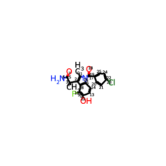 Cc1c([C@H](C)C(N)=O)c2c(F)c(O)ccc2n1C(=O)c1ccc(Cl)cc1